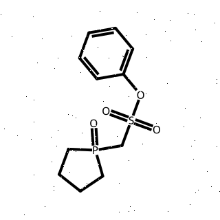 O=P1(CS(=O)(=O)Oc2ccccc2)CCCC1